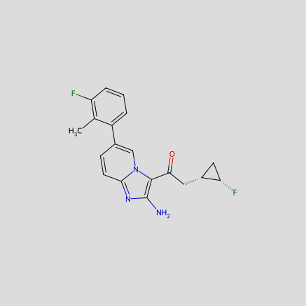 Cc1c(F)cccc1-c1ccc2nc(N)c(C(=O)C[C@@H]3C[C@@H]3F)n2c1